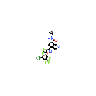 O=C(NCC1CC1)c1ccc(C2=NOC(c3cc(Cl)cc(C(F)(F)F)c3)(C(F)(F)F)C2)c2ccncc12